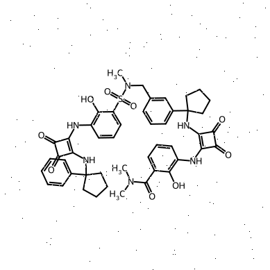 CN(C)C(=O)c1cccc(Nc2c(NC3(c4cccc(CN(C)S(=O)(=O)c5cccc(Nc6c(NC7(c8ccccc8)CCCC7)c(=O)c6=O)c5O)c4)CCCC3)c(=O)c2=O)c1O